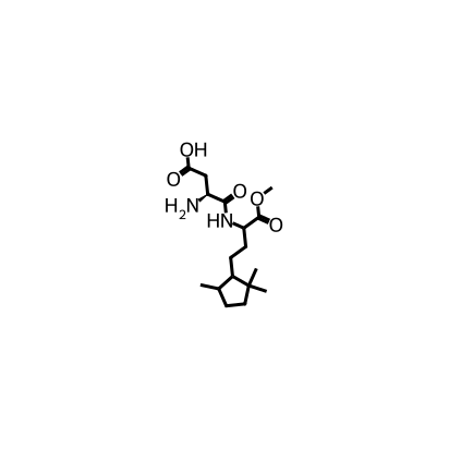 COC(=O)C(CCC1C(C)CCC1(C)C)NC(=O)[C@@H](N)CC(=O)O